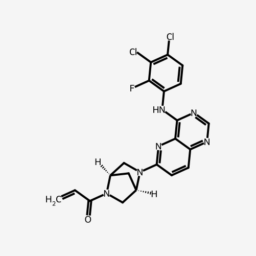 C=CC(=O)N1C[C@H]2C[C@@H]1CN2c1ccc2ncnc(Nc3ccc(Cl)c(Cl)c3F)c2n1